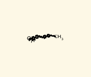 C/C=C/CCc1ccc(-c2ccc(CC/C=C/C3CCC(c4ccc(C5CO5)c(F)c4F)CC3)cc2)cc1